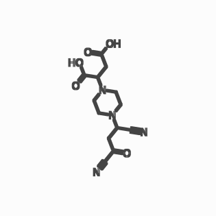 N#CC(=O)CC(C#N)N1CCN(C(CC(=O)O)C(=O)O)CC1